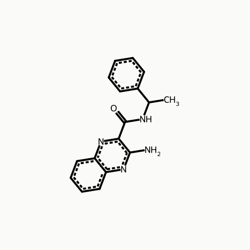 CC(NC(=O)c1nc2ccccc2nc1N)c1ccccc1